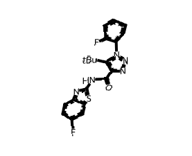 CC(C)(C)c1c(C(=O)Nc2nc3ccc(F)cc3s2)nnn1-c1ccccc1F